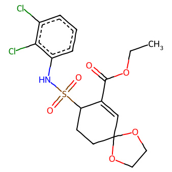 CCOC(=O)C1=CC2(CCC1S(=O)(=O)Nc1cccc(Cl)c1Cl)OCCO2